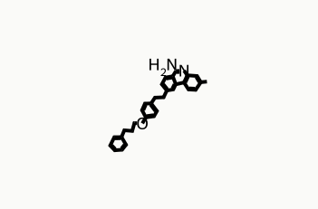 Cc1ccc2c(c1)nc(N)c1ccc(CCc3ccc(OCCCc4ccccc4)cc3)cc12